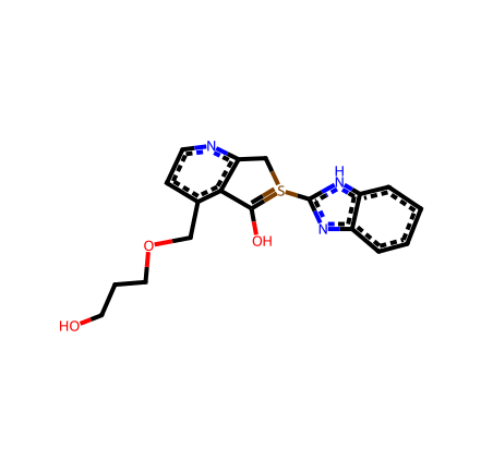 OCCCOCc1ccnc2c1C(O)=S(c1nc3ccccc3[nH]1)C2